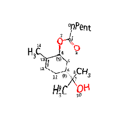 CCCCCC(=O)O[C@H]1C[C@H](C(C)(C)O)CC=C1C